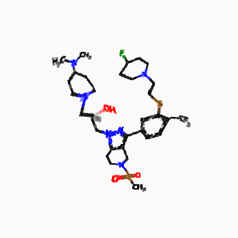 CN(C)C1CCN(C[C@H](O)Cn2nc(-c3ccc(C(F)(F)F)c(SCCN4CCC(F)CC4)c3)c3c2CCN(S(C)(=O)=O)C3)CC1